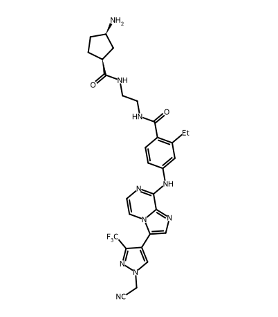 CCc1cc(Nc2nccn3c(-c4cn(CC#N)nc4C(F)(F)F)cnc23)ccc1C(=O)NCCNC(=O)[C@H]1CC[C@@H](N)C1